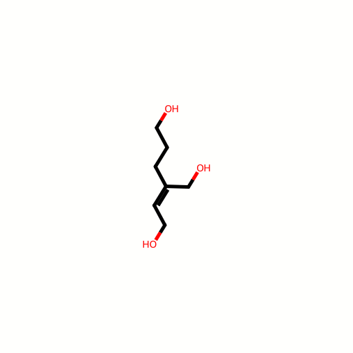 OCC=C(CO)CCCO